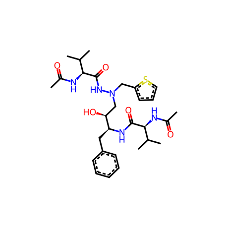 CC(=O)N[C@H](C(=O)N[C@@H](Cc1ccccc1)[C@@H](O)CN(Cc1cccs1)NC(=O)[C@@H](NC(C)=O)C(C)C)C(C)C